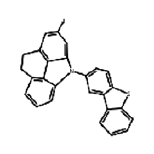 Ic1cc2c3c4c(cccc4n(-c4ccc5sc6ccccc6c5c4)c3c1)CC2